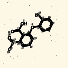 O=C(O)c1c(Oc2ccccc2Br)cccc1[N+](=O)[O-]